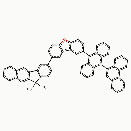 CC1(C)c2ccc(-c3ccc4oc5ccc(-c6c7ccccc7c(-c7cc8ccccc8c8ccccc78)c7ccccc67)cc5c4c3)cc2-c2cc3ccccc3cc21